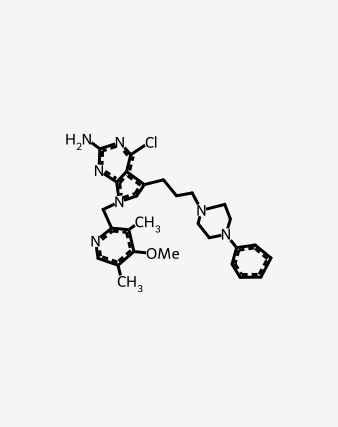 COc1c(C)cnc(Cn2cc(CCCN3CCN(c4ccccc4)CC3)c3c(Cl)nc(N)nc32)c1C